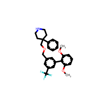 COc1cccc(OC)c1-c1cc(COCC2(c3ccccc3)CCNCC2)cc(C(F)(F)F)c1